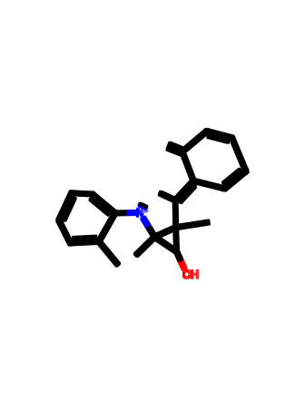 C=c1cccc/c1=C(/C)C1(C)C(O)C1(C)[N+](=C)c1ccccc1C